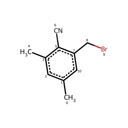 Cc1cc(C)c(C#N)c(CBr)c1